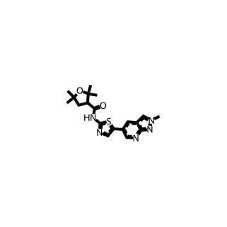 Cn1cc2cc(-c3cnc(NC(=O)C4CC(C)(C)OC4(C)C)s3)cnc2n1